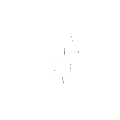 CCn1c(=S)[nH]c2ccc(I)cc2c1=O